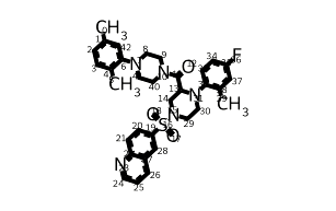 Cc1ccc(C)c(N2CCN(C(=O)C3CN(S(=O)(=O)c4ccc5ncccc5c4)CCN3c3ccc(F)cc3C)CC2)c1